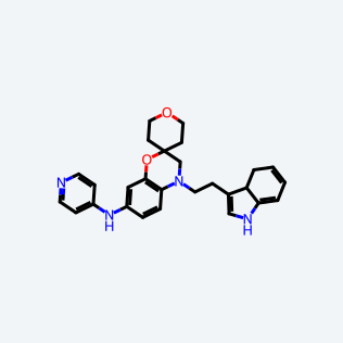 C1=CCC2C(CCN3CC4(CCOCC4)Oc4cc(Nc5ccncc5)ccc43)=CNC2=C1